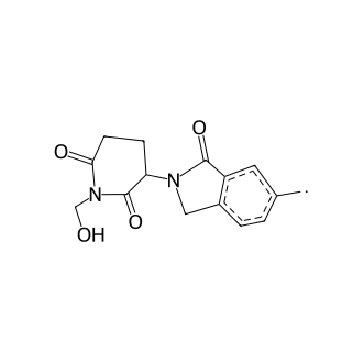 [CH2]c1ccc2c(c1)C(=O)N(C1CCC(=O)N(CO)C1=O)C2